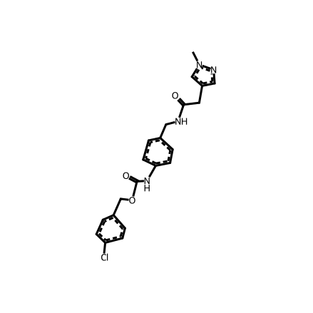 Cn1cc(CC(=O)NCc2ccc(NC(=O)OCc3ccc(Cl)cc3)cc2)cn1